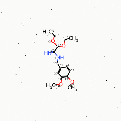 CCOC(OCC)C(=N)NCc1ccc(OC)c(OC)c1